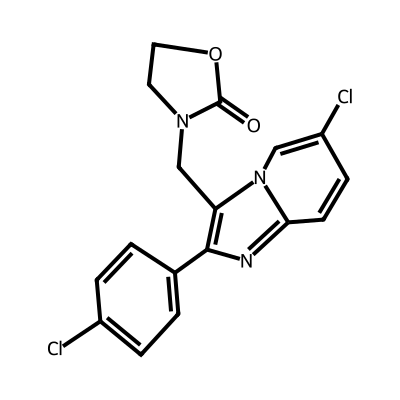 O=C1OCCN1Cc1c(-c2ccc(Cl)cc2)nc2ccc(Cl)cn12